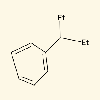 [CH2]CC(C[CH2])c1ccccc1